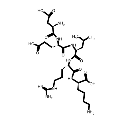 CC(C)C[C@H](NC(=O)[C@H](CCC(=O)O)NC(=O)[C@H](N)CC(=O)O)C(=O)N[C@@H](CCCNC(=N)N)C(=O)N[C@H](CCCCN)C(=O)O